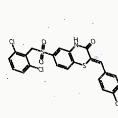 O=C1Nc2cc(S(=O)(=O)Cc3c(Cl)cccc3Cl)ccc2S/C1=C\c1ccc(Cl)cc1